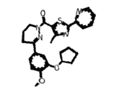 COc1ccc(C2=NN(C(=O)c3sc(-c4ccccn4)nc3C)CCC2)cc1OC1CCCC1